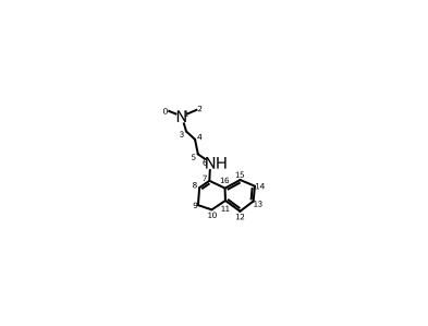 CN(C)CCCNC1=CCCc2ccccc21